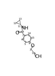 C#CCOc1ccc(C(=O)NC2CC2)cc1